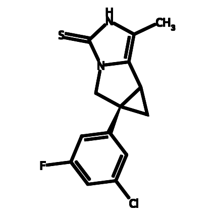 Cc1[nH]c(=S)n2c1C1C[C@]1(c1cc(F)cc(Cl)c1)C2